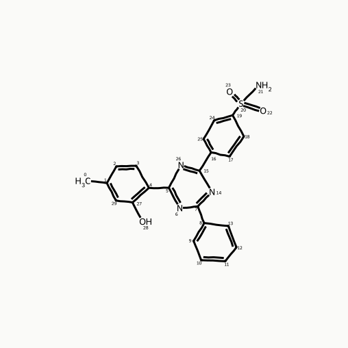 Cc1ccc(-c2nc(-c3ccccc3)nc(-c3ccc(S(N)(=O)=O)cc3)n2)c(O)c1